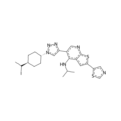 CC(C)Nc1c(-c2cn([C@H]3CC[C@H](C(C)I)CC3)nn2)cnc2sc(-c3cncs3)cc12